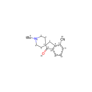 CC(C)(C)N1CCC2(CC1)Cc1c(C#N)cccc1C2=O